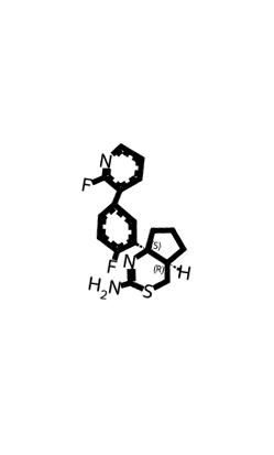 NC1=N[C@@]2(c3cc(-c4cccnc4F)ccc3F)CCC[C@H]2CS1